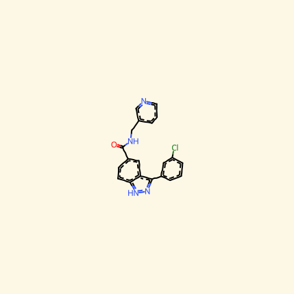 O=C(NCc1cccnc1)c1ccc2[nH]nc(-c3cccc(Cl)c3)c2c1